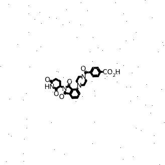 O=C1CCC(N2C(=O)c3cccc(N4CCN(C(=O)c5ccc(C(=O)O)cc5)CC4)c3C2=O)C(=O)N1